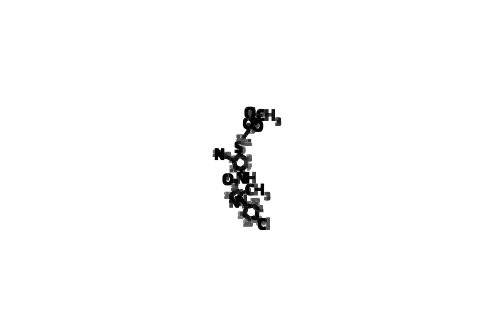 Cc1c(C(=O)Nc2ccc(SCCCOS(C)(=O)=O)c(C#N)c2)cnn1-c1ccc(Cl)cc1